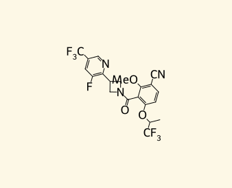 COc1c(C#N)ccc(OC(C)C(F)(F)F)c1C(=O)N1CC(c2ncc(C(F)(F)F)cc2F)C1